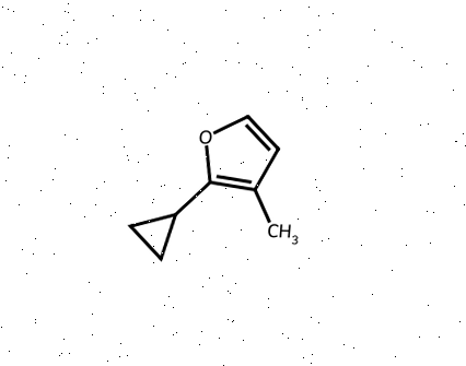 Cc1ccoc1C1CC1